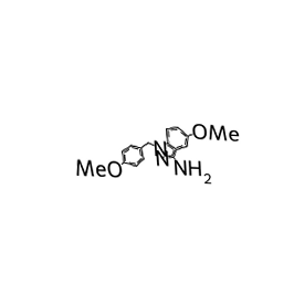 COc1ccc(Cn2nc(N)c3cc(OC)ccc32)cc1